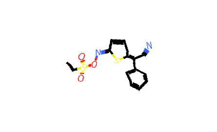 CCS(=O)(=O)O/N=C1C=C/C(=C(\C#N)c2ccccc2)S/1